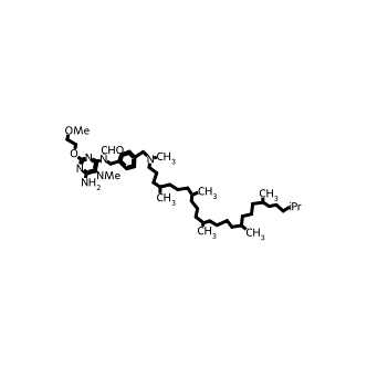 CNc1c(N)nc(OCCOC)nc1N(C=O)Cc1ccc(CN(C)CCCC(C)CCCC(C)CCCC(C)CCCCC(C)CCCC(C)CCCC(C)C)cc1